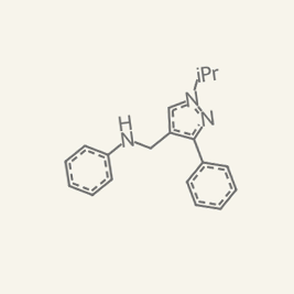 CC(C)n1cc(CNc2ccccc2)c(-c2ccccc2)n1